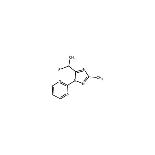 Cc1nc(C(C)Br)n(-c2ncccn2)n1